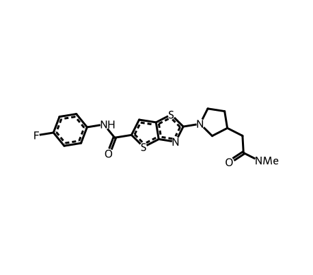 CNC(=O)CC1CCN(c2nc3sc(C(=O)Nc4ccc(F)cc4)cc3s2)C1